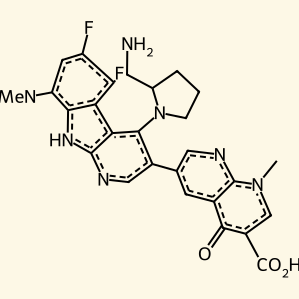 CNc1cc(F)c(F)c2c1[nH]c1ncc(-c3cnc4c(c3)c(=O)c(C(=O)O)cn4C)c(N3CCCC3CN)c12